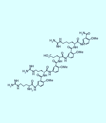 COc1ccc(NC(=O)[C@H](CCCCNC(=N)N)NC(=O)c2cc(NC(=O)[C@H](CCC(=O)O)NC(=O)c3cc(NC(=O)[C@H](CCCNC(=N)N)NC(=O)c4cc(NC(=O)[C@@H](N)CCCNC(=N)N)ccc4OC)ccc3OC)ccc2OC)cc1C(N)=O